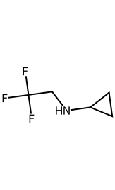 FC(F)(F)CNC1CC1